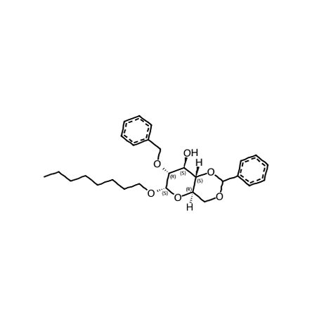 CCCCCCCCO[C@H]1O[C@@H]2COC(c3ccccc3)O[C@H]2[C@H](O)[C@H]1OCc1ccccc1